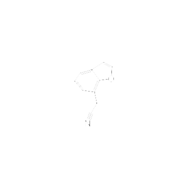 N#CCc1cccc2ccoc12